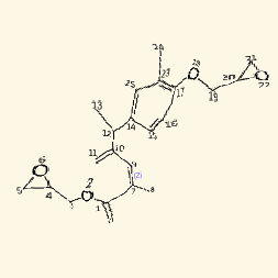 C=C(OCC1CO1)/C(C)=C\C(=C)C(C)c1ccc(OCC2CO2)c(C)c1